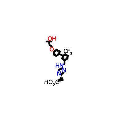 CC(C)(O)CCOc1ccc(-c2cc(CNc3cnc([C@H]4C[C@@H]4C(=O)O)cn3)ccc2C(F)(F)F)cc1